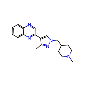 Cc1nn(CC2CCN(C)CC2)cc1-c1cnc2ccccc2n1